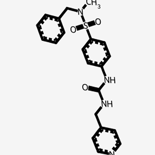 CN(Cc1ccccc1)S(=O)(=O)c1ccc(NC(=O)NCc2ccncc2)cc1